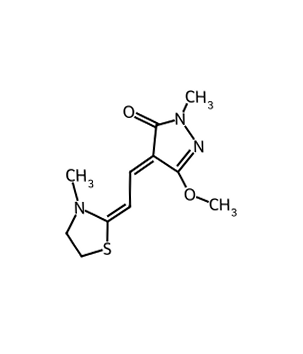 COC1=NN(C)C(=O)/C1=C/C=C1/SCCN1C